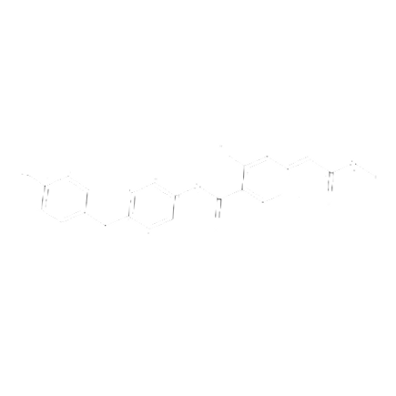 C\C=C(C(=O)Nc1ccc(Cc2ccc(C(C)(C)C)cc2)cc1)/C(=C\C=C\C(=O)NC(C)C)C(=O)O